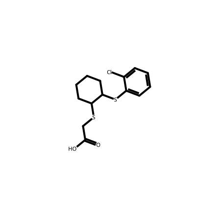 O=C(O)CSC1CCCCC1Sc1ccccc1Cl